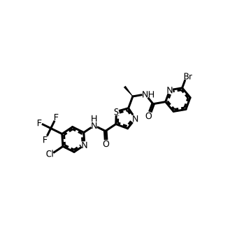 C[C@@H](NC(=O)c1cccc(Br)n1)c1ncc(C(=O)Nc2cc(C(F)(F)F)c(Cl)cn2)s1